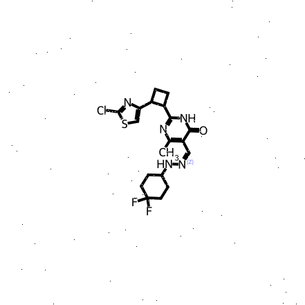 Cc1nc(C2CCC2c2csc(Cl)n2)[nH]c(=O)c1/C=N\NC1CCC(F)(F)CC1